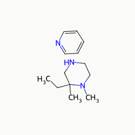 CCC1(C)CNCCN1C.c1ccncc1